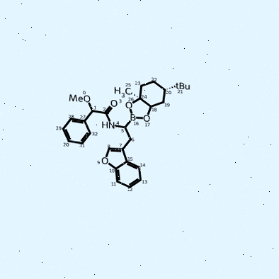 COC(C(=O)NC(Cc1coc2ccccc12)B1OC2C[C@@H](C(C)(C)C)CC[C@]2(C)O1)c1ccccc1